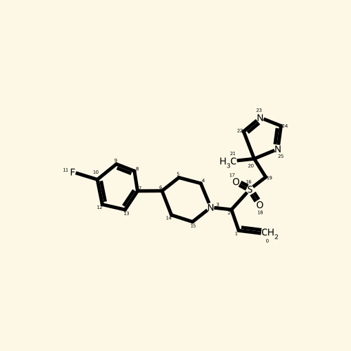 C=CC(N1CCC(c2ccc(F)cc2)CC1)S(=O)(=O)CC1(C)C=NC=N1